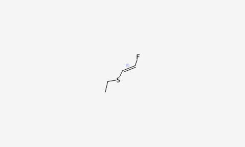 CCS/C=C/F